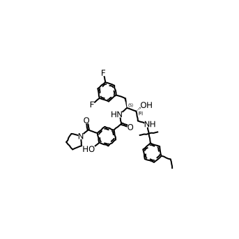 CCc1cccc(C(C)(C)NC[C@@H](O)[C@H](Cc2cc(F)cc(F)c2)NC(=O)c2ccc(O)c(C(=O)N3CCCC3)c2)c1